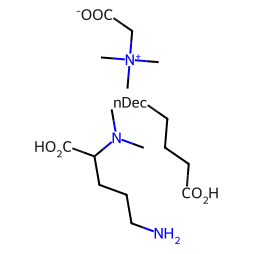 CCCCCCCCCCCCCC(=O)O.CN(C)C(CCCN)C(=O)O.C[N+](C)(C)CC(=O)[O-]